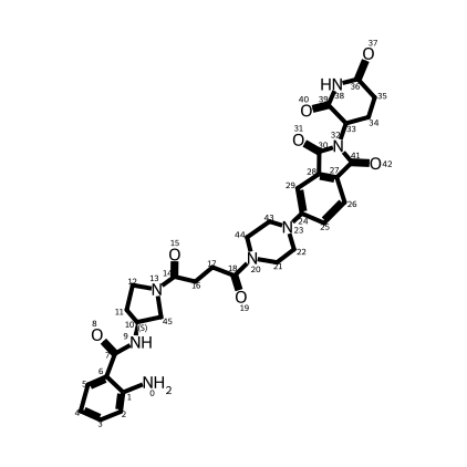 Nc1ccccc1C(=O)N[C@H]1CCN(C(=O)CCC(=O)N2CCN(c3ccc4c(c3)C(=O)N(C3CCC(=O)NC3=O)C4=O)CC2)C1